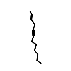 CC=CCC#CCCCCCC